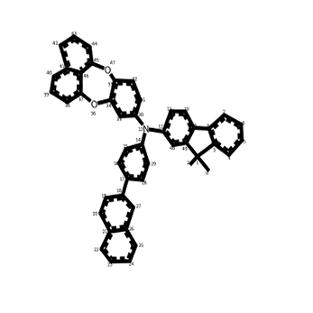 CC1(C)c2ccccc2-c2ccc(N(c3ccc(-c4ccc5ccccc5c4)cc3)c3ccc4c(c3)Oc3cccc5cccc(c35)O4)cc21